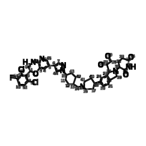 C[C@@H](Oc1cc(-c2cnn(C3CCC(CN4CCC(c5ccc6c(c5)C(C(=O)C=O)N(C5CCC(=O)NC5=O)C6)CC4)CC3)c2)cnc1N)c1c(Cl)ccc(F)c1Cl